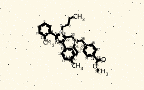 CCCCn1c(-c2ccccc2C)nc(-c2ccc(C)cc2)c1CN(CCC)Cc1ccc(C(=O)OC)cc1